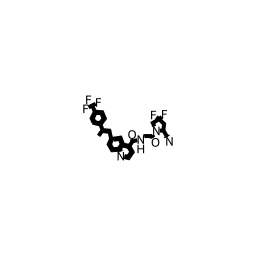 C/C(=C\c1ccc2nccc(C(=O)NCC(=O)N3CC(F)(F)CC3C#N)c2c1)c1ccc(C(F)(F)F)cc1